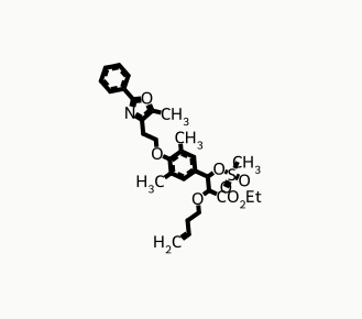 C=CCCOC(C(=O)OCC)C(OS(C)(=O)=O)c1cc(C)c(OCCc2nc(-c3ccccc3)oc2C)c(C)c1